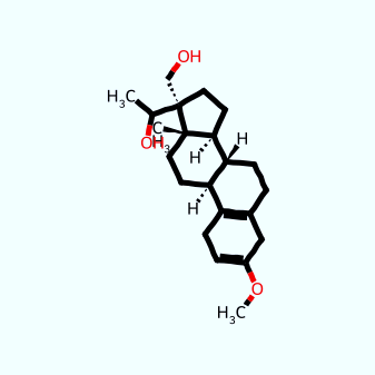 COC1=CCC2=C(CC[C@@H]3[C@@H]2CC[C@@]2(C)[C@H]3CC[C@]2(CO)C(C)O)C1